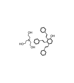 OCCN(CCO)CCO.Oc1ccc(C=Cc2ccccc2)c(C=Cc2ccccc2)c1C=Cc1ccccc1